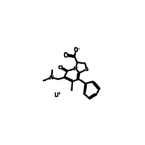 Cc1c(-c2ccccc2)c2n(c(=O)c1CN(C)C)C(C(=O)[O-])CS2.[Li+]